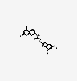 COc1cc(OC)c2oc(COC(=O)Nc3ccc4c(C)cc(=O)oc4c3)cc2c1